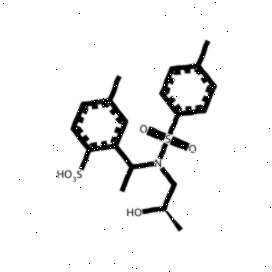 Cc1ccc(S(=O)(=O)N(C[C@@H](C)O)C(C)c2cc(C)ccc2S(=O)(=O)O)cc1